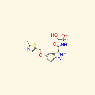 Cc1ncc(COc2ccc3nn(C)c(C(=O)NC4(CO)CCO4)c3c2)s1